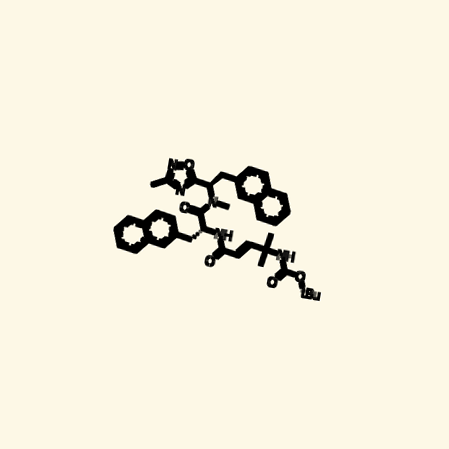 Cc1noc([C@@H](Cc2ccc3ccccc3c2)N(C)C(=O)[C@@H](Cc2ccc3ccccc3c2)NC(=O)/C=C/C(C)(C)NC(=O)OC(C)(C)C)n1